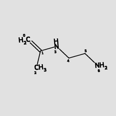 C=C(C)NCCN